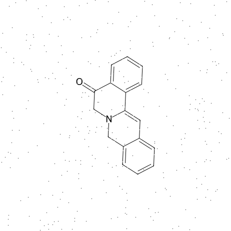 O=C1CN2Cc3ccccc3C=C2c2ccccc21